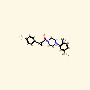 O=C(C1CC1c1ccc(C(F)(F)F)cc1)N1CCN(c2cc(C(F)(F)F)ccc2C(F)(F)F)CC1